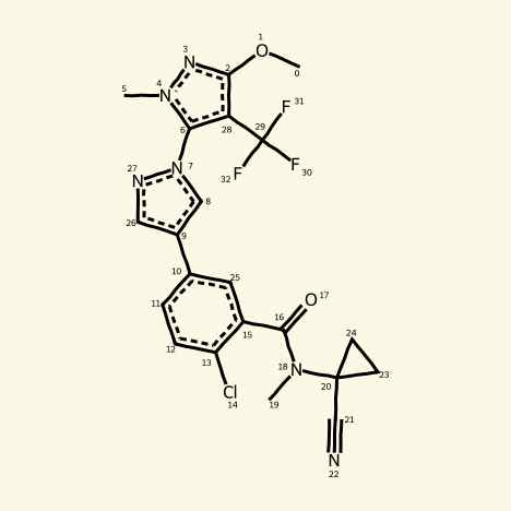 COc1nn(C)c(-n2cc(-c3ccc(Cl)c(C(=O)N(C)C4(C#N)CC4)c3)cn2)c1C(F)(F)F